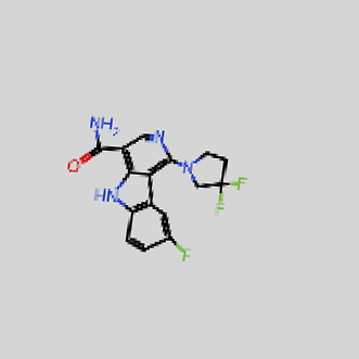 NC(=O)c1cnc(N2CCC(F)(F)C2)c2c1[nH]c1ccc(F)cc12